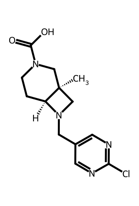 C[C@@]12CN(C(=O)O)CC[C@@H]1N(Cc1cnc(Cl)nc1)C2